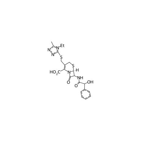 CCn1c(C)nnc1SCC1=C(C(=O)O)N2C(=O)C(NC(=O)C(O)c3ccccc3)[C@@H]2SC1